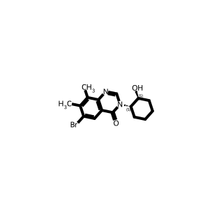 Cc1c(Br)cc2c(=O)n([C@H]3CCCC[C@@H]3O)cnc2c1C